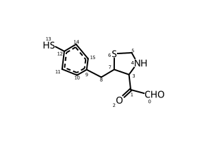 O=CC(=O)C1NCSC1Cc1ccc(S)cc1